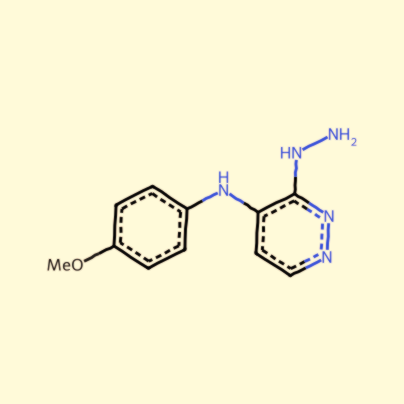 COc1ccc(Nc2ccnnc2NN)cc1